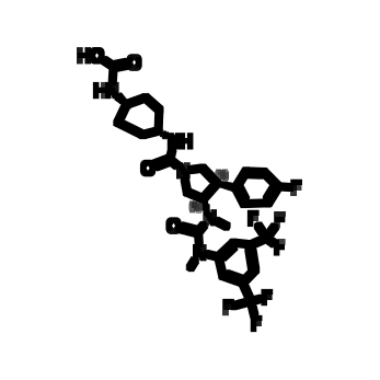 CN(C(=O)N(C)[C@@H]1CN(C(=O)N[C@H]2CC[C@H](NC(=O)O)CC2)C[C@H]1c1ccc(F)cc1)c1cc(C(F)(F)F)cc(C(F)(F)F)c1